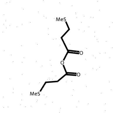 CSCCC(=O)OC(=O)CCSC